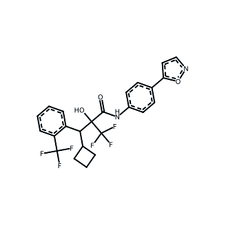 O=C(Nc1ccc(-c2ccno2)cc1)C(O)(C(c1ccccc1C(F)(F)F)C1CCC1)C(F)(F)F